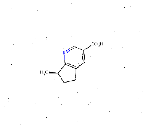 C[C@@H]1CCc2cc(C(=O)O)cnc21